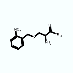 NC(=O)C(N)CSCc1ccccc1[N+](=O)[O-]